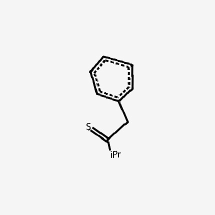 CC(C)C(=S)Cc1ccccc1